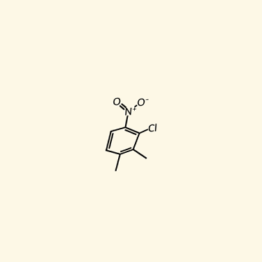 Cc1ccc([N+](=O)[O-])c(Cl)c1C